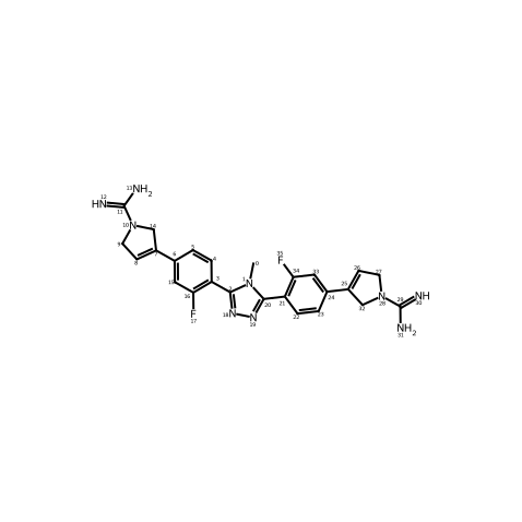 Cn1c(-c2ccc(C3=CCN(C(=N)N)C3)cc2F)nnc1-c1ccc(C2=CCN(C(=N)N)C2)cc1F